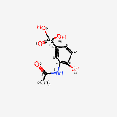 CC(=O)Nc1cc([As](=O)(O)O)[c]cc1O